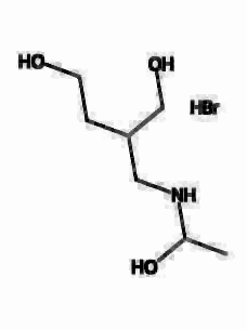 Br.CC(O)NCC(CO)CCO